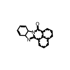 O=c1c2cccc3cccc(c4n1C1C=CC=CC1N=4)c32